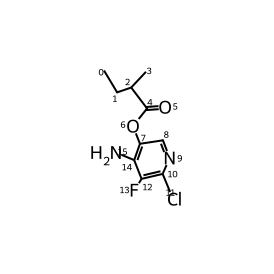 CCC(C)C(=O)Oc1cnc(Cl)c(F)c1N